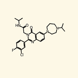 CC(C)NC(=O)Cn1c(-c2ccc(F)c(Cl)c2)nc2ccc(N3CCCN(C(C)C)CC3)cc2c1=O